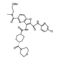 COCCN(C)C(=O)c1ccc2oc(C(=O)Nc3ccc(Cl)cn3)c(NC(=O)[C@H]3CC[C@H](C(=O)N4CCOCC4)CC3)c2n1